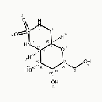 O=S1(=O)NC[C@H]2O[C@H](CO)[C@H](O)[C@H](O)[C@H]2N1